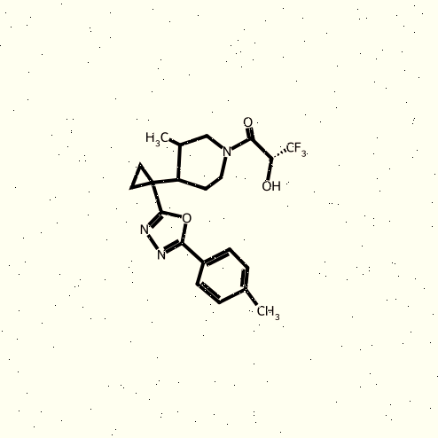 Cc1ccc(-c2nnc(C3(C4CCN(C(=O)[C@@H](O)C(F)(F)F)CC4C)CC3)o2)cc1